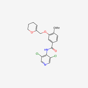 COc1ccc(C(=O)Nc2c(Cl)cncc2Cl)cc1OCC1=CCCCO1